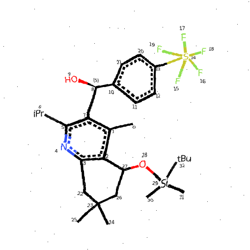 Cc1c2c(nc(C(C)C)c1[C@@H](O)c1ccc(S(F)(F)(F)(F)F)cc1)CC(C)(C)CC2O[Si](C)(C)C(C)(C)C